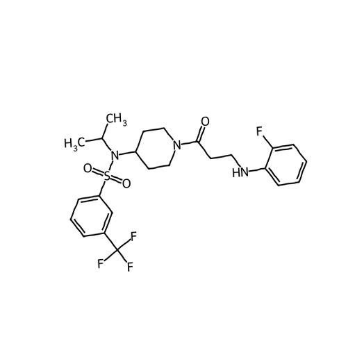 CC(C)N(C1CCN(C(=O)CCNc2ccccc2F)CC1)S(=O)(=O)c1cccc(C(F)(F)F)c1